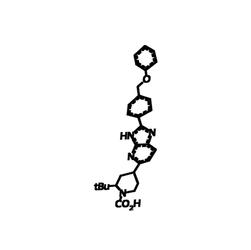 CC(C)(C)C1CC(c2ccc3nc(-c4ccc(COc5ccccc5)cc4)[nH]c3n2)CCN1C(=O)O